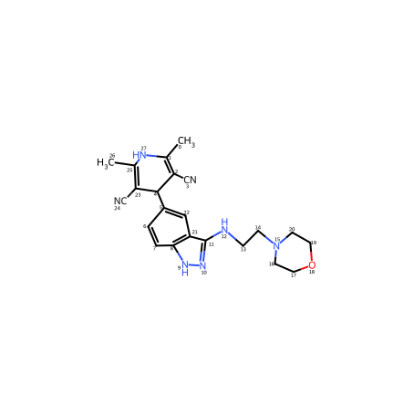 CC1=C(C#N)C(c2ccc3[nH]nc(NCCN4CCOCC4)c3c2)C(C#N)=C(C)N1